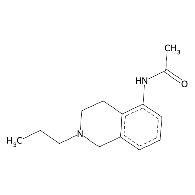 CCCN1CCc2c(cccc2NC(C)=O)C1